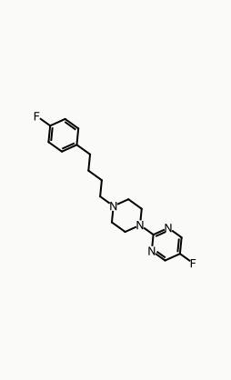 Fc1ccc(CCCCN2CCN(c3ncc(F)cn3)CC2)cc1